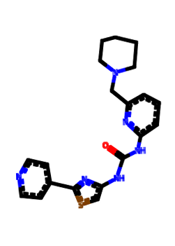 O=C(Nc1cccc(CN2CCCCC2)n1)Nc1csc(-c2ccncc2)n1